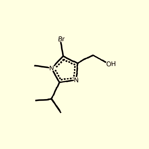 CC(C)c1nc(CO)c(Br)n1C